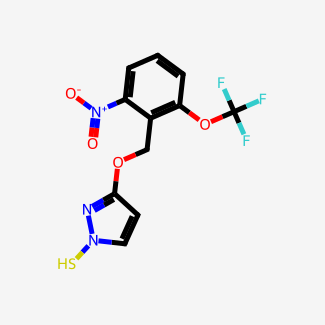 O=[N+]([O-])c1cccc(OC(F)(F)F)c1COc1ccn(S)n1